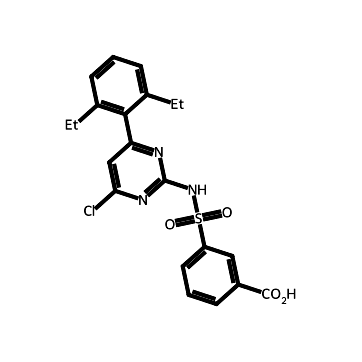 CCc1cccc(CC)c1-c1cc(Cl)nc(NS(=O)(=O)c2cccc(C(=O)O)c2)n1